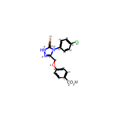 O=C(O)c1ccc(OCc2n[nH]c(=S)n2-c2ccc(Cl)cc2)cc1